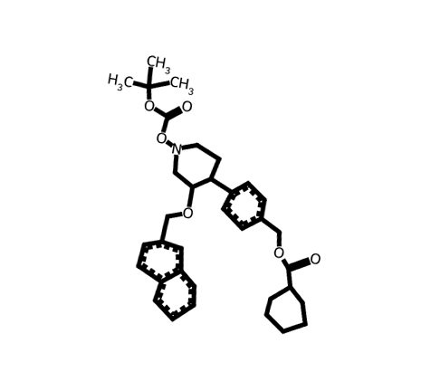 CC(C)(C)OC(=O)ON1CCC(c2ccc(COC(=O)C3CCCCC3)cc2)C(OCc2ccc3ccccc3c2)C1